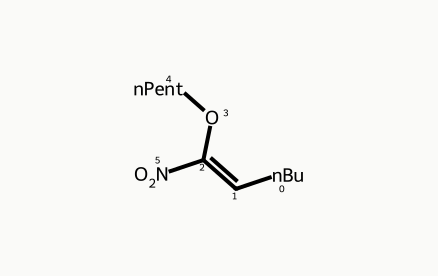 CCCCC=C(OCCCCC)[N+](=O)[O-]